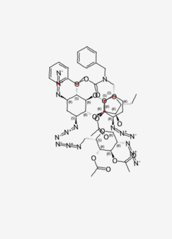 CC[C@H]1O[C@@H](O[C@@H]2[C@@H](OC)[C@H](N=[N+]=[N-])C[C@H](N=[N+]=[N-])[C@H]2O[C@H]2O[C@H](CN(Cc3ccccc3)C(=O)OCc3ccccc3)CC[C@H]2N=[N+]=[N-])[C@H](OC(C)=O)[C@@H]1O[C@H]1O[C@@H](CN=[N+]=[N-])[C@@H](OC(C)=O)[C@H](OC(C)=O)[C@H]1N=[N+]=[N-]